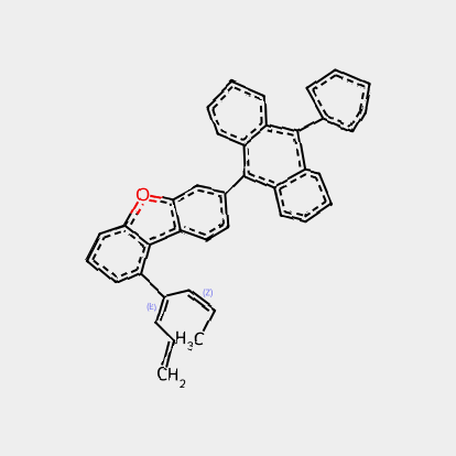 C=C/C=C(\C=C/C)c1cccc2oc3cc(-c4c5ccccc5c(-c5ccccc5)c5ccccc45)ccc3c12